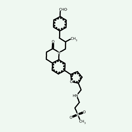 CC(Cc1ccc([C]=O)cc1)CN1C(=O)CCc2ccc(-c3ccc(CNCCS(C)(=O)=O)o3)cc21